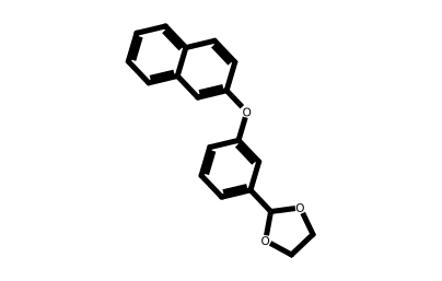 c1cc(Oc2ccc3ccccc3c2)cc(C2OCCO2)c1